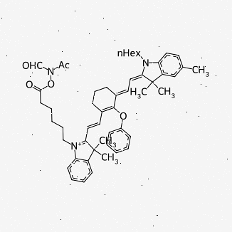 CCCCCCN1/C(=C/C=C2\CCCC(/C=C/C3=[N+](CCCCCC(=O)ON(C=O)C(C)=O)c4ccccc4C3(C)C)=C2Oc2ccccc2)C(C)(C)c2cc(C)ccc21